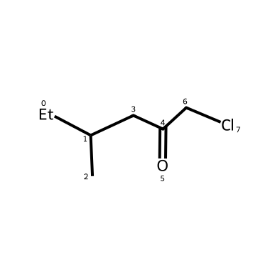 CCC(C)CC(=O)CCl